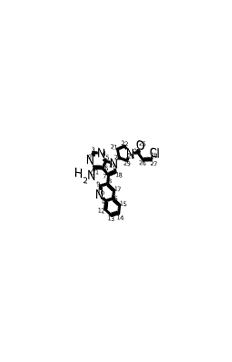 Nc1ncnc2c1c(-c1cnc3ccccc3c1)cn2[C@@H]1CCN(C(=O)/C=C\Cl)C1